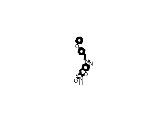 O=C1NC(=O)/C(=C\c2ccc3ncn(CCc4ccc(Oc5ccccc5)cc4)c3c2)S1